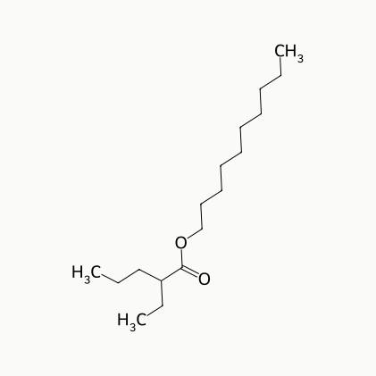 CCCCCCCCCCOC(=O)C(CC)CCC